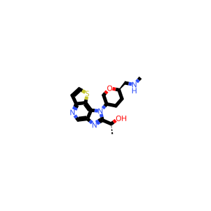 CNC[C@H]1CCC(n2c([C@@H](C)O)nc3cnc4ccsc4c32)CO1